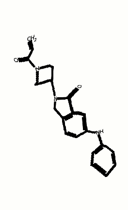 C=CC(=O)N1CC(N2Cc3ccc(Nc4ccccc4)cc3C2=O)C1